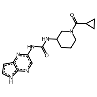 O=C(Nc1cnc2[nH]ccc2n1)NC1CCCN(C(=O)C2CC2)C1